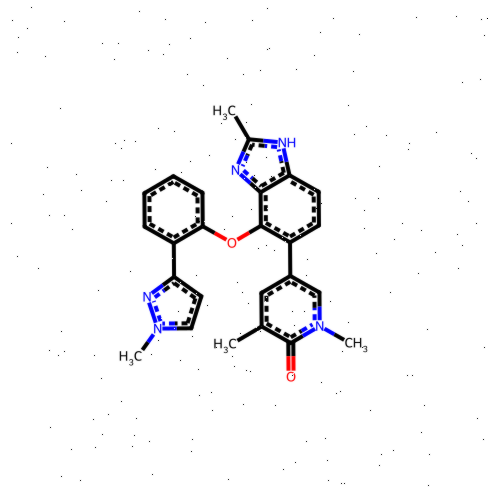 Cc1nc2c(Oc3ccccc3-c3ccn(C)n3)c(-c3cc(C)c(=O)n(C)c3)ccc2[nH]1